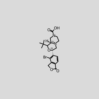 CC(C)(C)C1O[C@@H](c2ccc3c(c2Br)COC3=O)CN2CCN(C(=O)O)C[C@@H]12